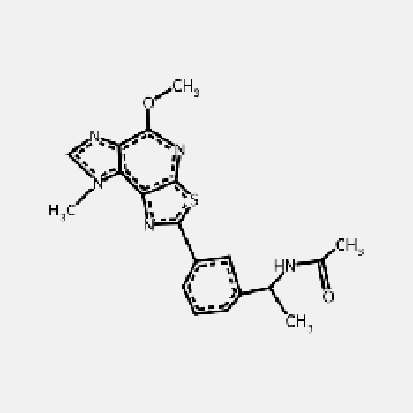 COc1nc2sc(-c3cccc(C(C)NC(C)=O)c3)nc2c2c1ncn2C